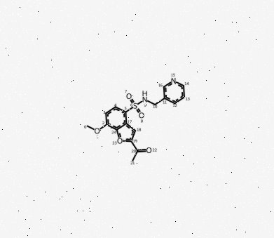 COc1ccc(S(=O)(=O)NCc2cccnc2)c2cc(C(C)=O)oc12